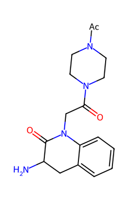 CC(=O)N1CCN(C(=O)CN2C(=O)C(N)Cc3ccccc32)CC1